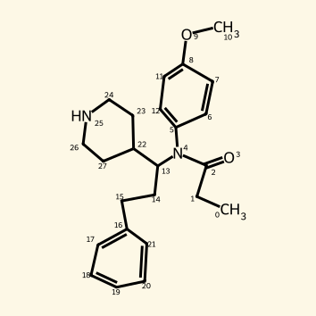 CCC(=O)N(c1ccc(OC)cc1)C(CCc1ccccc1)C1CCNCC1